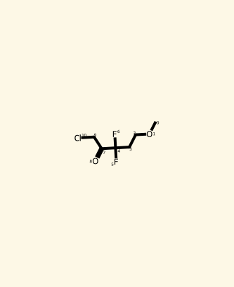 COCCC(F)(F)C(=O)CCl